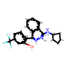 Oc1cc(C(F)(F)F)ccc1-c1nnc(NC2CCCC2)c2ccccc12